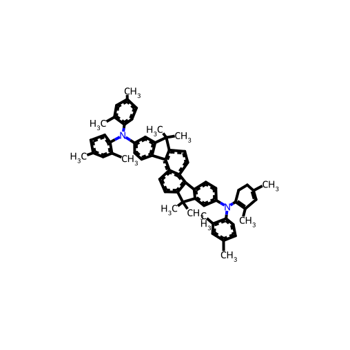 CC1=CC(C)=C(N(c2ccc3c(c2)C(C)(C)c2ccc4c5c(ccc4c2-3)C(C)(C)c2cc(N(c3ccc(C)cc3C)c3ccc(C)cc3C)ccc2-5)c2ccc(C)cc2C)CC1